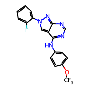 Fc1ccccc1-n1cc2c(Nc3ccc(OC(F)(F)F)cc3)ncnc2n1